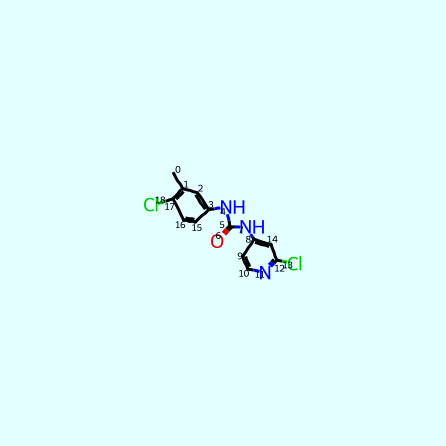 Cc1cc(NC(=O)Nc2ccnc(Cl)c2)ccc1Cl